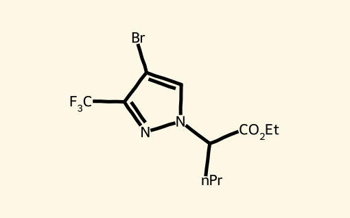 CCCC(C(=O)OCC)n1cc(Br)c(C(F)(F)F)n1